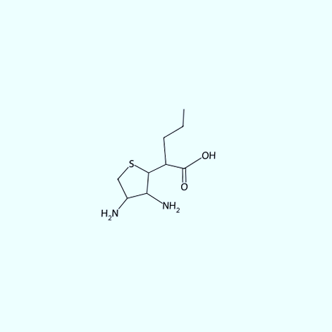 CCCC(C(=O)O)C1SCC(N)C1N